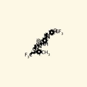 Cc1ccc(OCCC(F)(F)F)c(N2C(=O)CSC2=NC(=O)Nc2ccc(-c3ncn(-c4ccc(OC(F)(F)F)cc4)n3)cc2C(C)C)c1